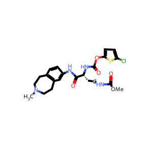 COC(=O)NCC[C@@H](NC(=O)Oc1ccc(Cl)s1)C(=O)Nc1ccc2c(c1)CCN(C)CC2